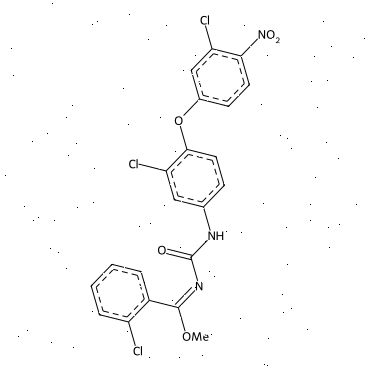 COC(=NC(=O)Nc1ccc(Oc2ccc([N+](=O)[O-])c(Cl)c2)c(Cl)c1)c1ccccc1Cl